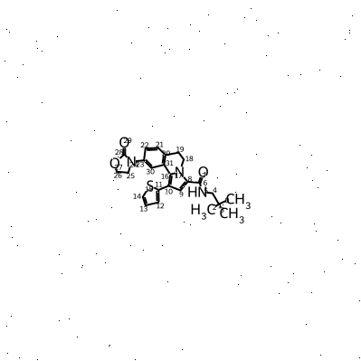 CC(C)(C)CNC(=O)c1cc(-c2cccs2)c2n1CCc1ccc(N3CCOC3=O)cc1-2